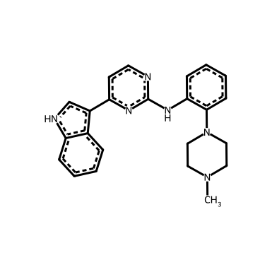 CN1CCN(c2ccccc2Nc2nccc(-c3c[nH]c4ccccc34)n2)CC1